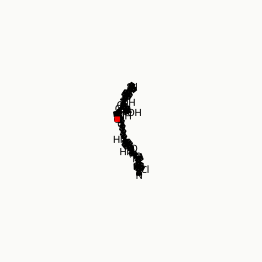 Cc1ncsc1-c1ccc([C@H](C)NC(=O)C2C[C@@H](O)CN2C(=O)[C@@H](NC(=O)COCCCCCNc2ccc(C(=O)N[C@@H](C)Cn3ccc(-c4ccc(C#N)c(Cl)c4)n3)cc2)C(C)(C)C)cc1